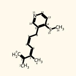 C=C(C)/C(C)=C\C=C/Cc1cnccc1SC